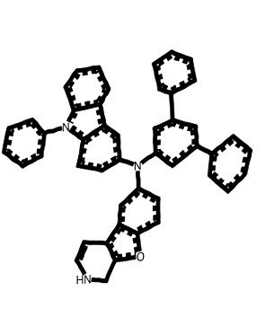 C1=Cc2c(oc3ccc(N(c4cc(-c5ccccc5)cc(-c5ccccc5)c4)c4ccc5c(c4)c4ccccc4n5-c4ccccc4)cc23)CN1